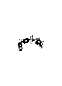 O=C(Nc1ccc(C(=O)c2ccc3nccnc3c2)cc1)Nc1ccc(C(F)(F)F)c(Cl)c1